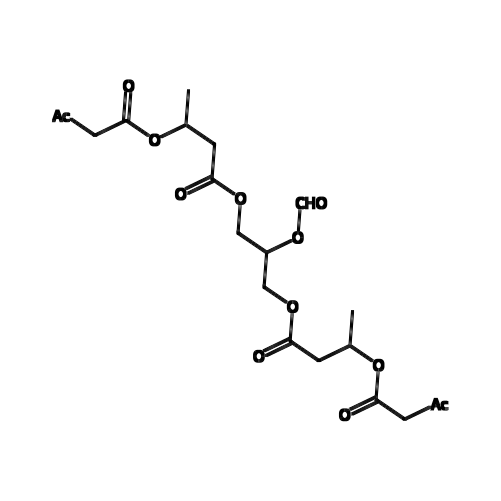 CC(=O)CC(=O)OC(C)CC(=O)OCC(COC(=O)CC(C)OC(=O)CC(C)=O)OC=O